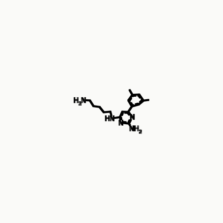 Cc1cc(C)cc(-c2cc(NCCCCCN)nc(N)n2)c1